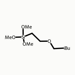 CCC(C)COCC[Si](OC)(OC)OC